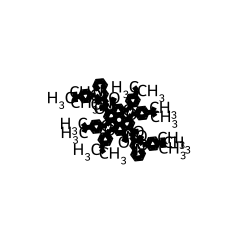 CC(C)c1ccc(Oc2cc3c4c(cc(Oc5ccc(C(C)C)cc5)c5c6c(Oc7ccc(C(C)C)cc7)cc7c8c(cc(Oc9ccc(C(C)C)cc9)c(c2c45)c86)C(=O)N(C(Cc2ccccn2)C(=O)Oc2ccc(C(C)(C)C)cc2)C7=O)C(=O)N(C(Cc2ccccn2)C(=O)Oc2ccc(C(C)(C)C)cc2)C3=O)cc1